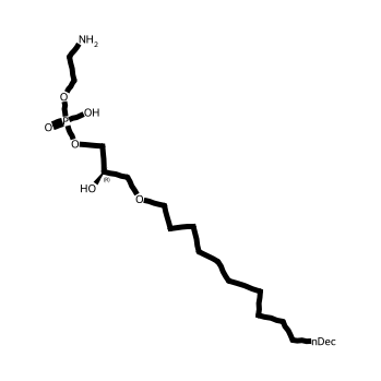 CCCCCCCCCCCCCCCCCCCCOC[C@@H](O)COP(=O)(O)OCCN